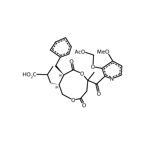 COc1ccnc(C(=O)C2(C)CC(=O)OC[C@H](CC(C)C(=O)O)[C@@H](Cc3ccccc3)C(=O)O2)c1OCOC(C)=O